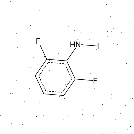 Fc1cccc(F)c1NI